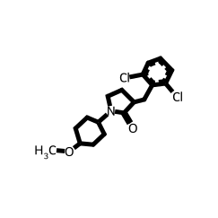 COC1CCC(N2CCC(Cc3c(Cl)cccc3Cl)C2=O)CC1